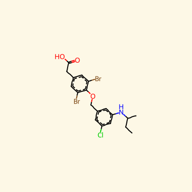 CCC(C)Nc1cc(Cl)cc(COc2c(Br)cc(CC(=O)O)cc2Br)c1